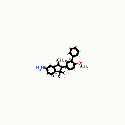 COc1ccc(C2C(C)c3cc(N)ccc3C2(C)C)cc1-c1ccccc1